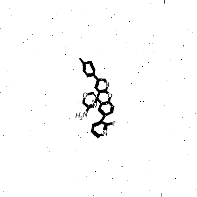 Cc1ccc(-c2cnc3c(c2)[C@]2(COCC(N)=N2)c2cc(-c4cccnc4F)ccc2O3)cc1